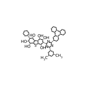 Cc1cc(C)cc(-c2nc(-c3ccc4c5ccccc5c5ccccc5c4c3)nc(-c3c(O)c(O)c4c(sc5c(O)c(O)c(-c6ccccc6)c(O)c54)c3O)n2)c1